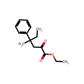 CCOC(=O)C(=O)CC(C)(CC)c1ccccc1